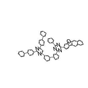 c1ccc(-c2ccc(-c3cc(-c4cccc(-c5cccc(-c6nc(-c7ccccc7)nc(-c7ccc8c(c7)oc7cc9ccccc9cc78)n6)c5)c4)nc(-c4ccc(-c5ccccc5)cc4)n3)cc2)cc1